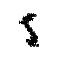 COC(=O)N[C@H](C(=O)N1CCCC1c1nc(-c2ccc(-c3cn4cc(-c5ccc(-c6cnc([C@@H]7CCCN7C(=O)[C@@H](NC(=O)OC)C(C)C)[nH]6)cc5)sc4n3)cc2)c[nH]1)C(C)C